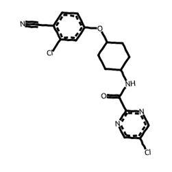 N#Cc1ccc(OC2CCC(NC(=O)c3ncc(Cl)cn3)CC2)cc1Cl